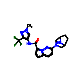 Cn1cc(NC(=O)c2ccc3ccc(N4CC5CCC(C4)N5)nn23)c(C(F)(F)F)n1